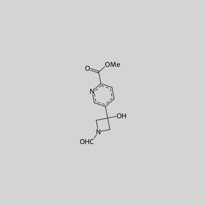 COC(=O)c1ccc(C2(O)CN(C=O)C2)cn1